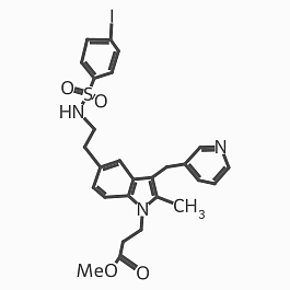 COC(=O)CCn1c(C)c(Cc2cccnc2)c2cc(CCNS(=O)(=O)c3ccc(I)cc3)ccc21